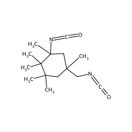 CC1(CN=C=O)CC(C)(C)C(C)(C)C(C)(N=C=O)C1